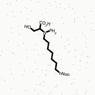 CCCCCCCCCCCCCCCCN(P)C(CO)C(=O)O